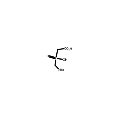 CCCCCP(=O)(O)CC(=O)O